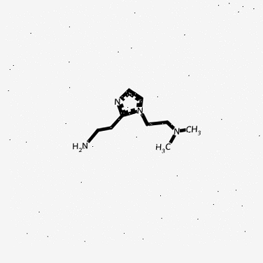 CN(C)CCn1ccnc1CCN